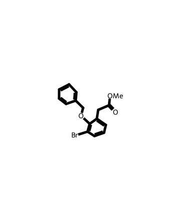 COC(=O)Cc1cccc(Br)c1OCc1ccccc1